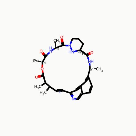 CC1/C=C/c2cc3cc(ccc3cn2)[C@@H](C)NC(=O)[C@@H]2CCCN(N2)C(=O)[C@H](C)NC(=O)[C@H](C(C)C)OC(=O)C1C